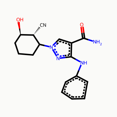 N#C[C@@H]1C(n2cc(C(N)=O)c(Nc3ccccc3)n2)CCC[C@H]1O